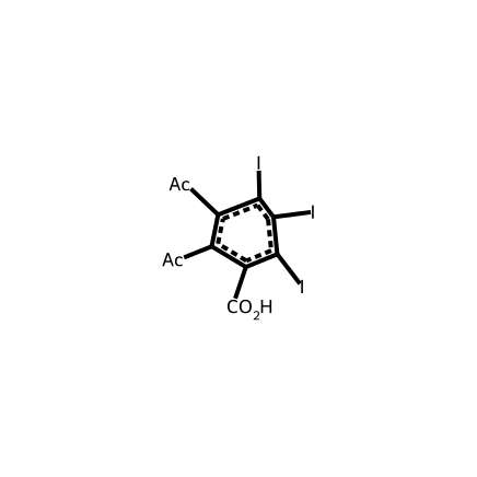 CC(=O)c1c(I)c(I)c(I)c(C(=O)O)c1C(C)=O